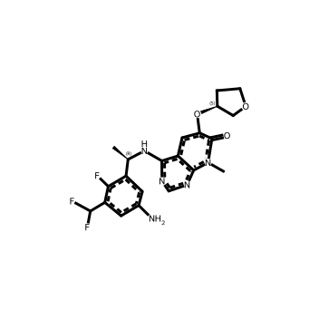 C[C@@H](Nc1ncnc2c1cc(O[C@H]1CCOC1)c(=O)n2C)c1cc(N)cc(C(F)F)c1F